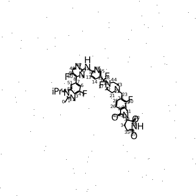 Cc1nc2c(F)cc(-c3nc(Nc4ccc(C(F)(F)N5CCN(Cc6ccc7c(c6F)CN(C6CCC(=O)NC6=O)C7=O)CC5)cn4)ncc3F)cc2n1C(C)C